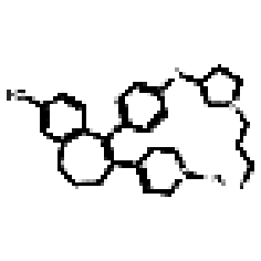 CN1CC=C(C2=C(c3ccc(OC4CCN(CCCF)C4)cc3)c3ccc(O)cc3CCC2)CC1